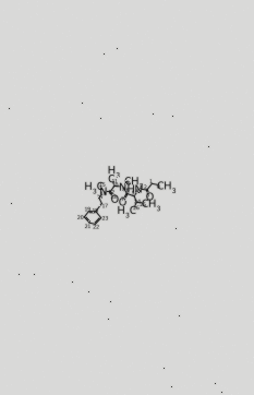 CCC(=O)N[C@H](C(=O)N(C)[C@@H](C)C(=O)N(C)CCc1ccccc1)C(C)C